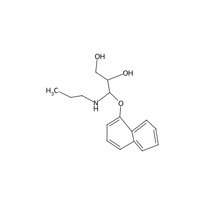 CCCNC(Oc1cccc2ccccc12)C(O)CO